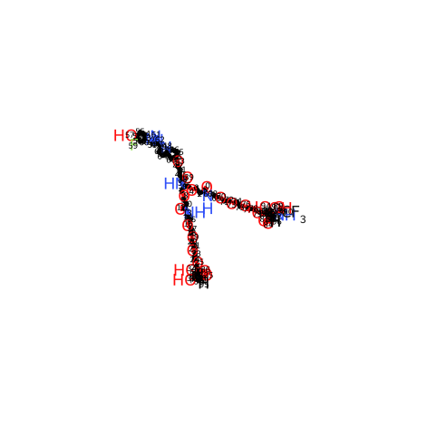 O=C(CCOCC(COCCC(=O)NCCOCCOCCOCCOC[C@@]12C[C@@H](C[C@@H](O)[C@H]1O)OO2)NC(=O)CCCOc1ccc2nc(-c3cn(-c4ccc(O)c(F)c4)nn3)ccc2c1)NCCOCCOCCOCCOC[C@]12C[C@H](OO1)[C@H](NC(=O)C(F)(F)F)[C@@H](O)[C@H]2O